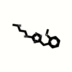 CNCCNc1nc(Cc2ccccc2OC)ns1